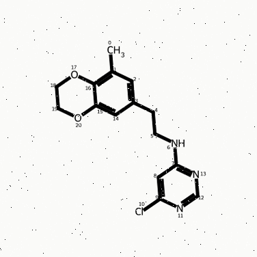 Cc1cc(CCNc2cc(Cl)ncn2)cc2c1OCCO2